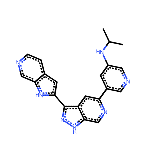 CC(C)Nc1cncc(-c2cc3c(-c4cc5ccncc5[nH]4)n[nH]c3cn2)c1